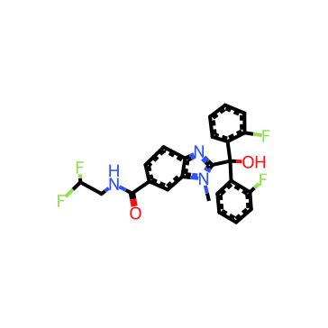 Cn1c(C(O)(c2ccccc2F)c2ccccc2F)nc2ccc(C(=O)NCC(F)F)cc21